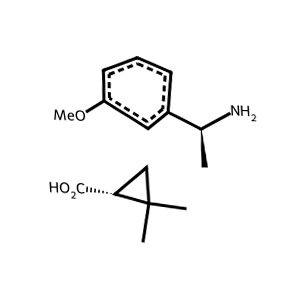 CC1(C)C[C@H]1C(=O)O.COc1cccc([C@H](C)N)c1